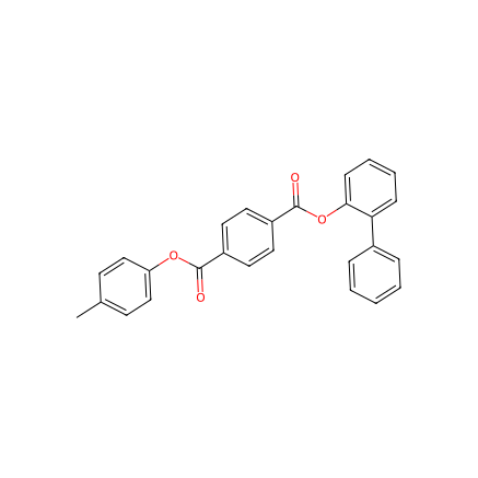 Cc1ccc(OC(=O)c2ccc(C(=O)Oc3ccccc3-c3ccccc3)cc2)cc1